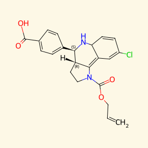 C=CCOC(=O)N1CC[C@H]2C1=C1C=C(Cl)C=CC1N[C@@H]2c1ccc(C(=O)O)cc1